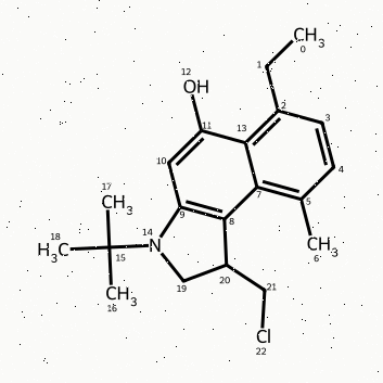 CCc1ccc(C)c2c3c(cc(O)c12)N(C(C)(C)C)CC3CCl